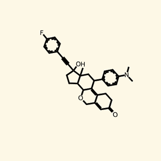 CN(C)c1ccc(C2CC3(C)C(CCC3(O)C#Cc3ccc(F)cc3)C3OCC4=CC(=O)CCC4=C23)cc1